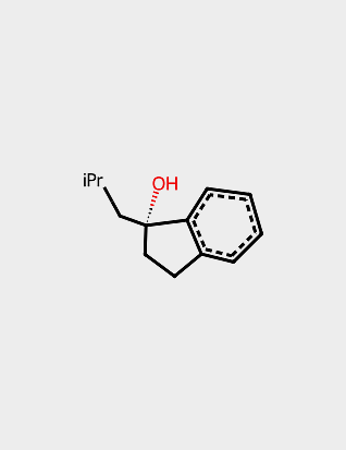 CC(C)C[C@]1(O)CCc2ccccc21